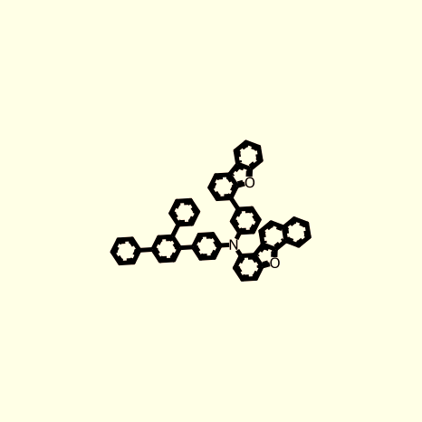 c1ccc(-c2ccc(-c3ccc(N(c4cccc(-c5cccc6c5oc5ccccc56)c4)c4cccc5oc6c7ccccc7ccc6c45)cc3)c(-c3ccccc3)c2)cc1